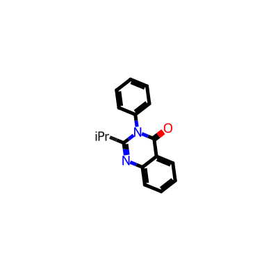 CC(C)c1nc2ccccc2c(=O)n1-c1ccccc1